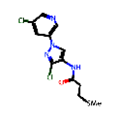 CSCCC(=O)Nc1cn(-c2cncc(Cl)c2)nc1Cl